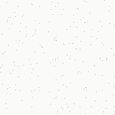 NC(=O)Oc1ccc(S(=O)(=O)Cl)cn1